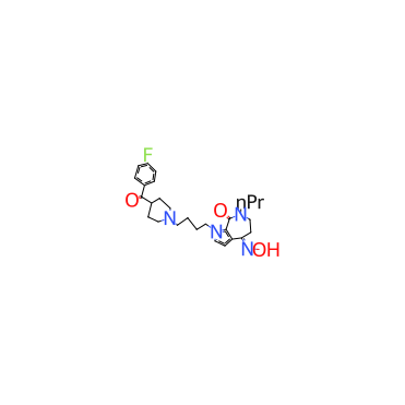 CCCN1CCC(=NO)c2ccn(CCCCN3CCC(C(=O)c4ccc(F)cc4)CC3)c2C1=O